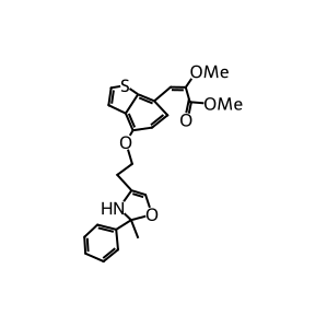 COC(=O)C(=Cc1ccc(OCCC2=COC(C)(c3ccccc3)N2)c2ccsc12)OC